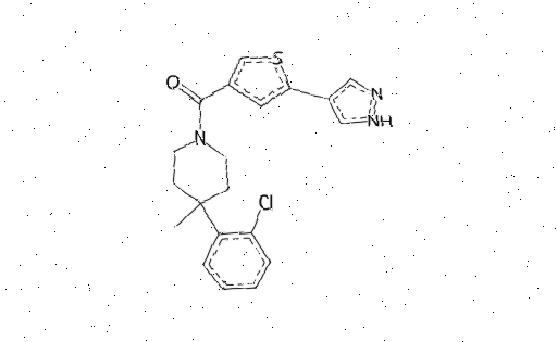 CC1(c2ccccc2Cl)CCN(C(=O)c2csc(-c3cn[nH]c3)c2)CC1